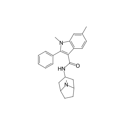 Cc1ccc2c(C(=O)NC3CC4CCC(C3)N4C)c(-c3ccccc3)n(C)c2c1